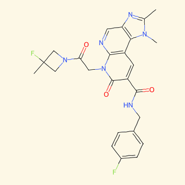 Cc1nc2cnc3c(cc(C(=O)NCc4ccc(F)cc4)c(=O)n3CC(=O)N3CC(C)(F)C3)c2n1C